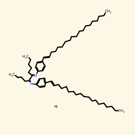 CCCCCCCCCCCCCCCCCC=Cc1ccc(N=C(CCCC)C(CCCCC)=Nc2ccc(C=CCCCCCCCCCCCCCCCCC)cc2)cc1.[Ni]